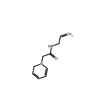 C=CCNC(=O)CN1C=CC=CC1